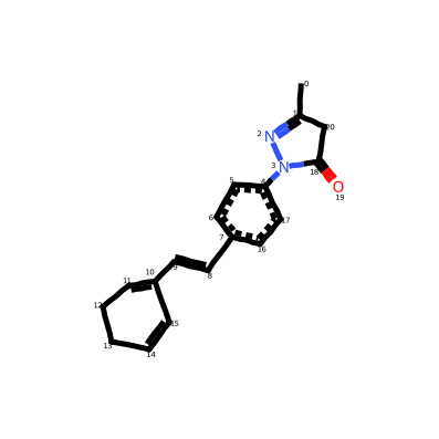 CC1=NN(c2ccc(C=CC3=CCCC=C3)cc2)C(=O)C1